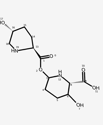 O=C(OC1CCC(O)[C@@H](C(=O)O)N1)[C@@H]1CC[C@@H](O)CN1